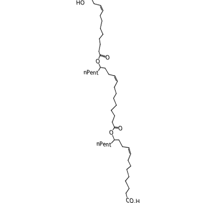 CCCCCC(O)CC/C=C\CCCCCCCC(=O)OC(CC/C=C\CCCCCCCC(=O)OC(CC/C=C\CCCCCCCC(=O)O)CCCCC)CCCCC